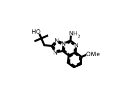 COc1cccc2c1nc(N)n1nc(CC(C)(C)O)nc21